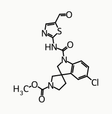 COC(=O)N1CCC2(C1)CN(C(=O)Nc1ncc(C=O)s1)c1ccc(Cl)cc12